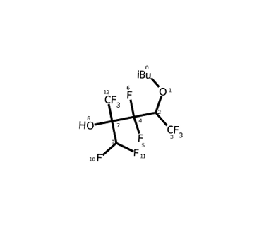 CCC(C)OC(C(F)(F)F)C(F)(F)C(O)(C(F)F)C(F)(F)F